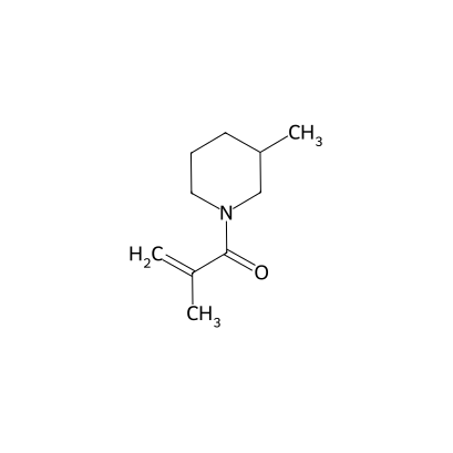 C=C(C)C(=O)N1CCCC(C)C1